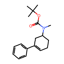 CN(C(=O)OC(C)(C)C)C1CCC=C(c2ccccc2)C1